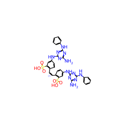 Nc1nc(Nc2ccccc2)nc(Nc2ccc(/C=C\c3ccc(Nc4nc(N)nc(Nc5ccccc5)n4)cc3S(=O)(=O)O)c(S(=O)(=O)O)c2)n1